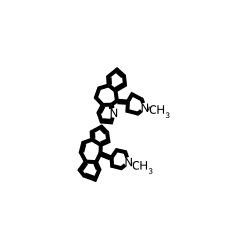 CN1CCC(=C2c3ccccc3C=Cc3ccccc32)CC1.CN1CCC(=C2c3ccccc3CCc3cccnc32)CC1